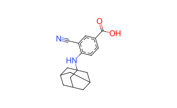 N#Cc1cc(C(=O)O)ccc1NC12CC3CC(CC(C3)C1)C2